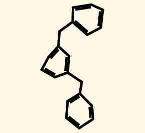 [c]1c(Cc2ccccc2)cccc1Cc1ccccc1